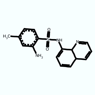 Cc1ccc(S(=O)(=O)NC2=CC=CC3C=CC=NC23)c(N)c1